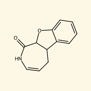 O=C1NC=CCC2c3ccccc3OC12